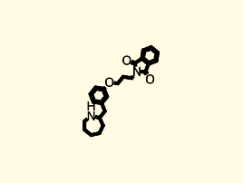 O=C1c2ccccc2C(=O)N1CCCOc1cccc(CC2CCCCCN2)c1